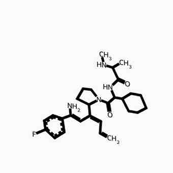 C=C/C=C(\C=C(/N)c1ccc(F)cc1)C1CCCN1C(=O)C(NC(=O)C(C)NC)C1CCCCC1